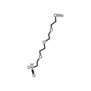 COCCOCCOCCOCC[SH](=O)=O